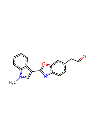 Cn1cc(-c2nc3ccc(CC=O)cc3o2)c2ccccc21